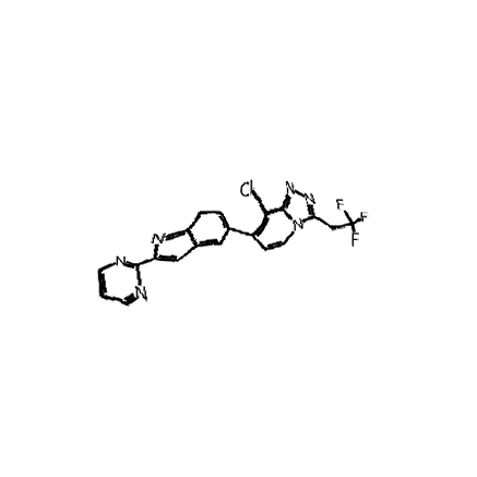 FC(F)(F)Cc1nnc2c(Cl)c(C3=CCC4=NC(c5ncccn5)=CC4=C3)ccn12